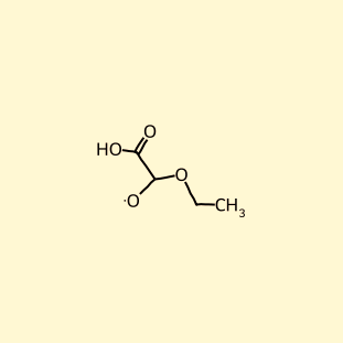 CCOC([O])C(=O)O